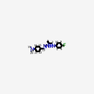 C=C(CNc1ccc(F)cc1)N/N=C/c1ccc(N(C)C)cc1